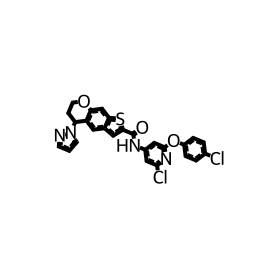 O=C(Nc1cc(Cl)nc(Oc2ccc(Cl)cc2)c1)c1cc2cc3c(cc2s1)OCCC3n1cccn1